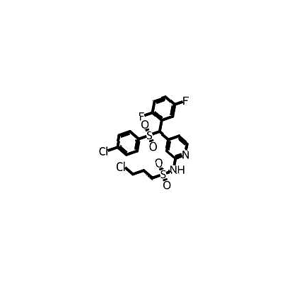 O=S(=O)(CCCCl)Nc1cc(C(c2cc(F)ccc2F)S(=O)(=O)c2ccc(Cl)cc2)ccn1